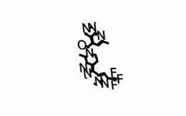 Cc1cc(C(=O)N2CCc3c(nn(C)c3-c3cc(C(F)(F)F)nn3C)C2C)c2cnn(C)c2n1